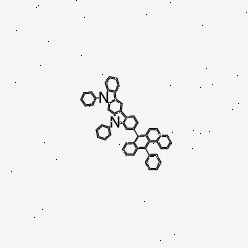 c1ccc(-c2c3ccccc3c(-c3ccc4c5cc6c7ccccc7n(-c7ccccc7)c6cc5n(-c5ccccc5)c4c3)c3ccc4ccccc4c23)cc1